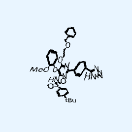 COc1ccccc1Oc1c(NS(=O)(=O)c2ccc(C(C)(C)C)cc2)nc(-c2ccc(-c3nnn[nH]3)cc2)nc1OCCOCc1ccccc1